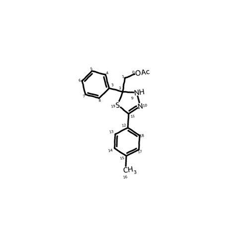 CC(=O)OCC1(c2ccccc2)NN=C(c2ccc(C)cc2)S1